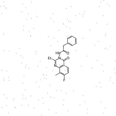 CCc1nc2c(C)c(F)ccc2c(=O)n1NC(=O)Cc1ccccc1